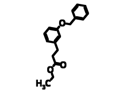 CCOC(=O)CCc1cccc(OCc2ccccc2)c1